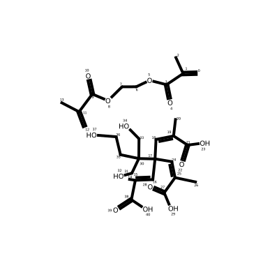 C=C(C)C(=O)OCCOC(=O)C(=C)C.CC(=CC(C=C(C)C(=O)O)(C=C(C)C(=O)O)C(CO)(CO)CCO)C(=O)O